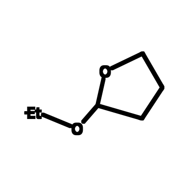 C[CH]OC1CCCO1